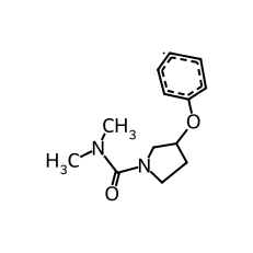 CN(C)C(=O)N1CCC(Oc2cc[c]cc2)C1